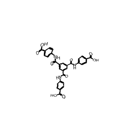 O=C(O)c1ccc(NC(=O)c2cc(C(=O)Nc3ccc(C(=O)O)cc3)cc(C(=O)Nc3ccc(C(=O)O)cc3)c2)cc1